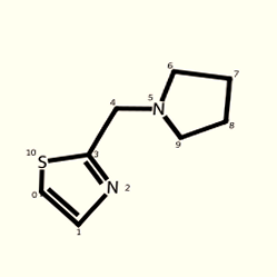 [c]1cnc(CN2CCCC2)s1